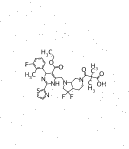 CCOC(=O)C1=C(CN2CC(F)(F)C3CCN(C(=O)C(C)(C)C(=O)O)CC32)NC(c2nccs2)=NC1c1cccc(F)c1C